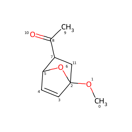 COC12C=CC(O1)C(C(C)=O)C2